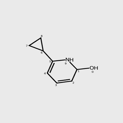 OC1C=CC=C(C2CC2)N1